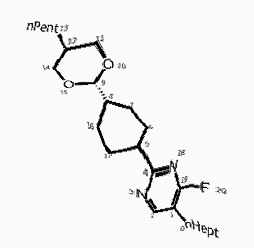 CCCCCCCc1cnc(C2CCC([C@H]3OC[C@H](CCCCC)CO3)CC2)nc1F